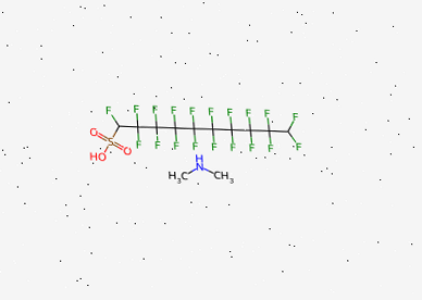 CNC.O=S(=O)(O)C(F)C(F)(F)C(F)(F)C(F)(F)C(F)(F)C(F)(F)C(F)(F)C(F)(F)C(F)(F)C(F)F